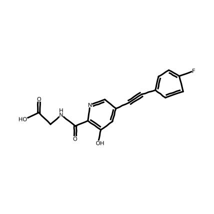 O=C(O)CNC(=O)c1ncc(C#Cc2ccc(F)cc2)cc1O